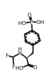 O=C(O)[C@H](Cc1ccc(P(=O)(O)O)cc1)NC(F)F